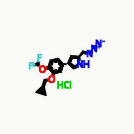 Cl.[N-]=[N+]=NC[C@@H]1C[C@@H](c2ccc(OC(F)F)c(OCC3CC3)c2)CN1